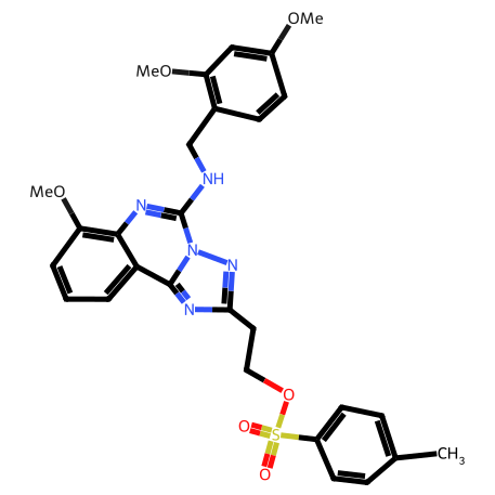 COc1ccc(CNc2nc3c(OC)cccc3c3nc(CCOS(=O)(=O)c4ccc(C)cc4)nn23)c(OC)c1